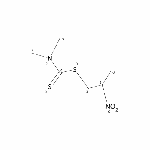 CC(CSC(=S)N(C)C)[N+](=O)[O-]